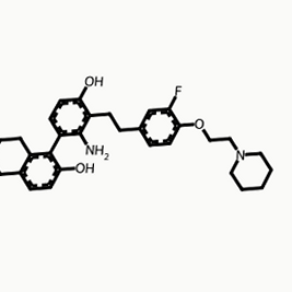 Nc1c(-c2c(O)ccc3c2CCCC3)ccc(O)c1CCc1ccc(OCCN2CCCCC2)c(F)c1